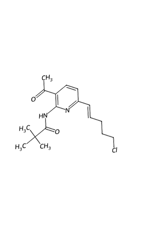 CC(=O)c1ccc(C=CCCCCl)nc1NC(=O)C(C)(C)C